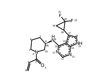 C=CC(=O)N1CCC[C@@H](Nc2ncnc3[nH]cc(C4CC4(F)F)c23)C1